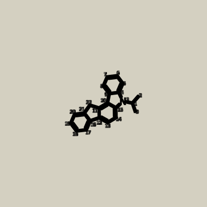 CC(C)n1c2ccccc2c2c3c(ccc21)-c1ccccc1C3